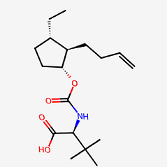 C=CCC[C@@H]1[C@@H](CC)CC[C@H]1OC(=O)N[C@H](C(=O)O)C(C)(C)C